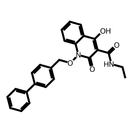 CCNC(=O)c1c(O)c2ccccc2n(OCc2ccc(-c3ccccc3)cc2)c1=O